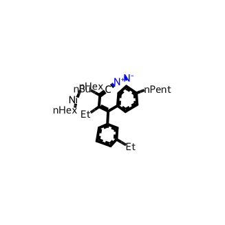 CCCCC[CH2][Ni][CH2]CCCCC.CCCCCc1ccc(C(=C(CC)C(=C=[N+]=[N-])CCCC)c2cccc(CC)c2)cc1